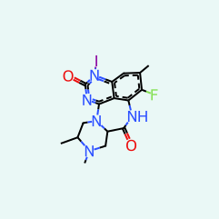 Cc1cc2c3c(nc(=O)n2I)N2CC(C)N(C)CC2C(=O)Nc3c1F